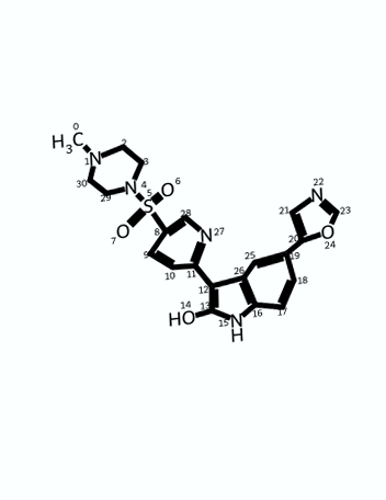 CN1CCN(S(=O)(=O)c2ccc(-c3c(O)[nH]c4ccc(-c5cnco5)cc34)nc2)CC1